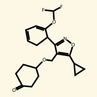 O=C1CCC(OCc2c(C3CC=CC=C3OC(F)F)noc2C2CC2)CC1